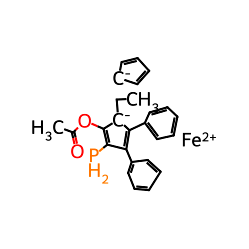 CC[c-]1c(OC(C)=O)c(P)c(-c2ccccc2)c1-c1ccccc1.[Fe+2].c1cc[cH-]c1